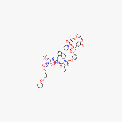 C=CC(=O)OCC(C)(C)C(=O)C(=O)N1CCCCC1C(=O)O[C@H](CCc1ccc(OC)c(OC)c1)c1cccc(OCC(=O)N2c3ccc4cccc(c4c3)CC(C(=O)N(C)C(COC(C)(C)C)C(=O)NCC(=O)N(C)CC/C=C\CCOC3CCCCCC3)NC(=O)C2CCCC)c1